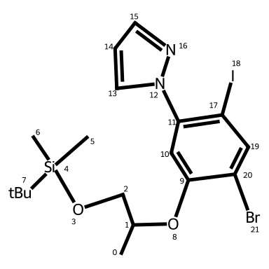 CC(CO[Si](C)(C)C(C)(C)C)Oc1cc(-n2cccn2)c(I)cc1Br